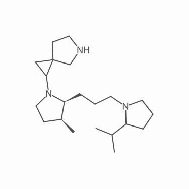 CC(C)C1CCCN1CCC[C@H]1[C@@H](C)CCN1C1CC12CCNC2